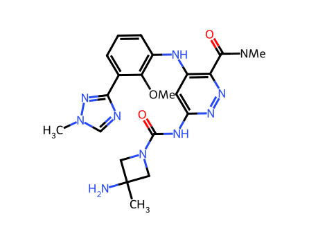 CNC(=O)c1nnc(NC(=O)N2CC(C)(N)C2)cc1Nc1cccc(-c2ncn(C)n2)c1OC